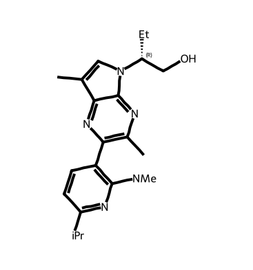 CC[C@H](CO)n1cc(C)c2nc(-c3ccc(C(C)C)nc3NC)c(C)nc21